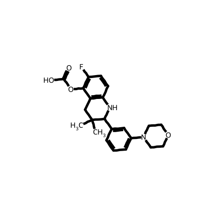 CC1(C)Cc2c(ccc(F)c2OC(=O)O)NC1c1cccc(N2CCOCC2)c1